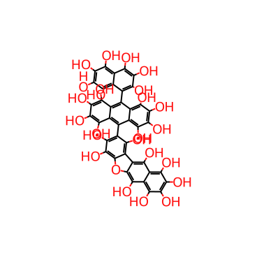 Oc1c(-c2c3c(O)c(O)c(O)c(O)c3c(-c3c(O)c(O)c(O)c4c(O)c(O)c(O)c(O)c34)c3c(O)c(O)c(O)c(O)c23)c(O)c2c(oc3c(O)c4c(O)c(O)c(O)c(O)c4c(O)c32)c1O